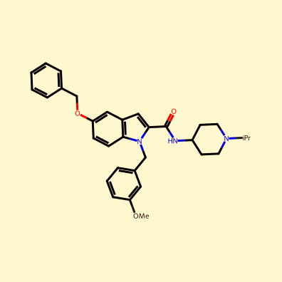 COc1cccc(Cn2c(C(=O)NC3CCN(C(C)C)CC3)cc3cc(OCc4ccccc4)ccc32)c1